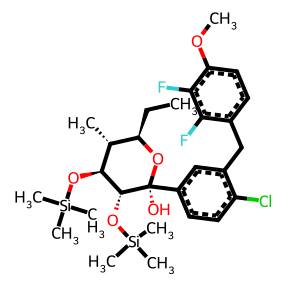 CC[C@H]1O[C@@](O)(c2ccc(Cl)c(Cc3ccc(OC)c(F)c3F)c2)[C@H](O[Si](C)(C)C)[C@@H](O[Si](C)(C)C)[C@@H]1C